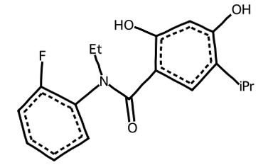 CCN(C(=O)c1cc(C(C)C)c(O)cc1O)c1ccccc1F